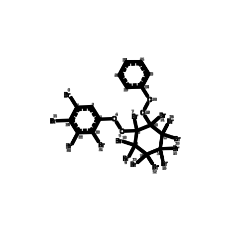 Brc1cc(OOC2(Br)C(Br)(Br)C(Br)(Br)C(Br)(Br)C(Br)(Br)C2(Br)OOc2ccccc2)c(Br)c(Br)c1Br